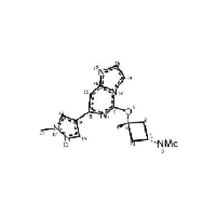 CN[C@H]1C[C@@](C)(Oc2nc(-c3cnn(C)c3)cc3nccn23)C1